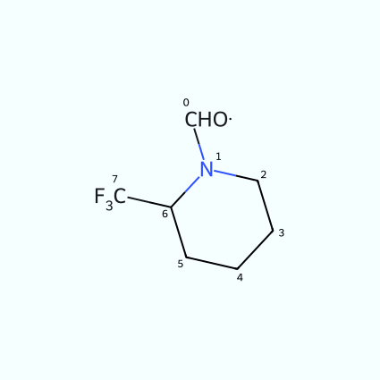 O=[C]N1CCCCC1C(F)(F)F